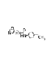 CCc1ccc(NC(=O)NCc2cnco2)cc1